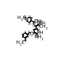 C=Cc1cccc(COC2=C(N)PCC(/C(SC(=C)C3CCN(C)CC3)=C(\C)CCCC)=C2)c1